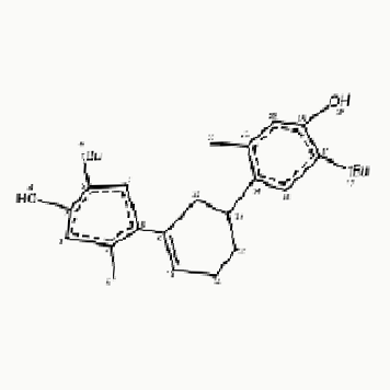 Cc1cc(O)c(C(C)(C)C)cc1C1=CCCC(c2cc(C(C)(C)C)c(O)cc2C)C1